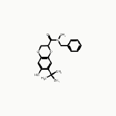 CN(Cc1ccccc1)C(=O)C1COc2cc(O)c(C(C)(C)C)cc2O1